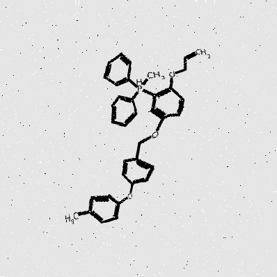 C=CCOc1ccc(OCc2ccc(Oc3ccc(C)cc3)cc2)cc1[PH](C)(c1ccccc1)c1ccccc1